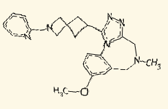 COc1ccc2c(c1)CN(C)Cc1nnc(C3CC4(C3)CN(c3ccccn3)C4)n1-2